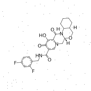 O=C(NCc1ccc(F)cc1F)c1cn2c(c(O)c1=O)C(=O)N1[C@@H](C2)OC[C@@H]2CCCC[C@@H]21